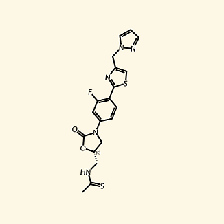 CC(=S)NC[C@H]1CN(c2ccc(-c3nc(Cn4cccn4)cs3)c(F)c2)C(=O)O1